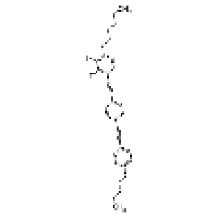 CCCCCCc1ccc(C#Cc2ccc(C#Cc3ccc(CCCCC)cc3)cc2)c(F)c1F